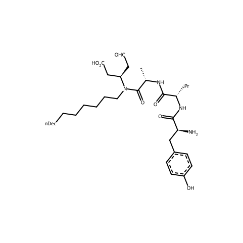 CCCCCCCCCCCCCCCCN(C(=O)[C@H](C)NC(=O)[C@@H](NC(=O)[C@@H](N)Cc1ccc(O)cc1)C(C)C)[C@H](CC=O)CC(=O)O